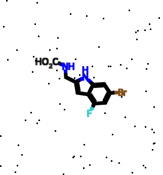 O=C(O)NCc1cc2c(F)cc(Br)cc2[nH]1